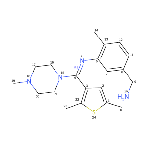 Cc1cc(/C(=N\c2cc(CN)ccc2C)N2CCN(C)CC2)c(C)s1